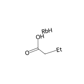 CCCC(=O)O.[RbH]